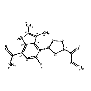 C=CC(=O)N1CCC(c2c(F)cc(C(N)=O)c3[nH]c(C)c(C)c23)C1